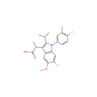 COc1cc2c(C(C)C(=O)O)c(C(C)C)n(-c3ccc(F)c(C)c3)c2cc1F